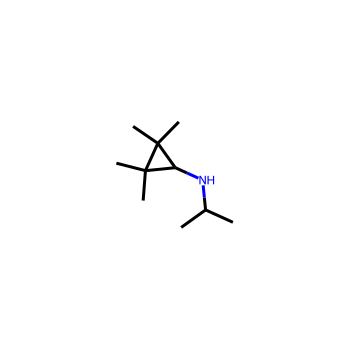 CC(C)NC1C(C)(C)C1(C)C